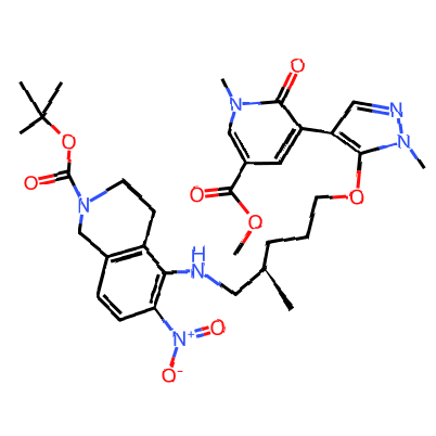 COC(=O)c1cc(-c2cnn(C)c2OCCC[C@@H](C)CNc2c([N+](=O)[O-])ccc3c2CCN(C(=O)OC(C)(C)C)C3)c(=O)n(C)c1